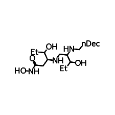 CCCCCCCCCCCNC(CNC(CC(=O)NO)C(O)CC)C(O)CC